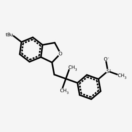 C[S+]([O-])c1cccc(C(C)(C)CC2OCc3cc(C(C)(C)C)ccc32)c1